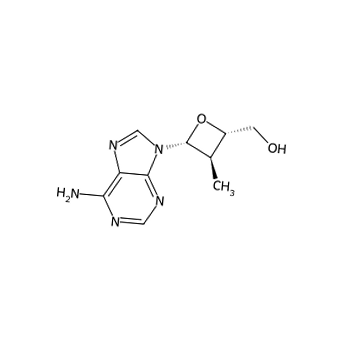 C[C@H]1[C@H](n2cnc3c(N)ncnc32)O[C@@H]1CO